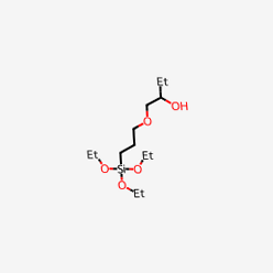 CCO[Si](CCCOCC(O)CC)(OCC)OCC